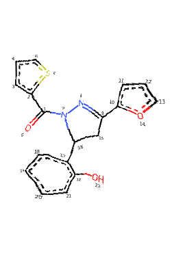 O=C(c1cccs1)N1N=C(c2ccco2)CC1c1ccccc1O